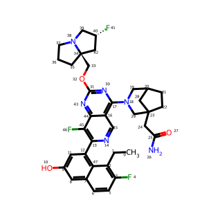 CCc1c(F)ccc2cc(O)cc(-c3ncc4c(N5CC6CCC(CC(N)=O)(C6)C5)nc(OC[C@@]56CCCN5C[C@H](F)C6)nc4c3F)c12